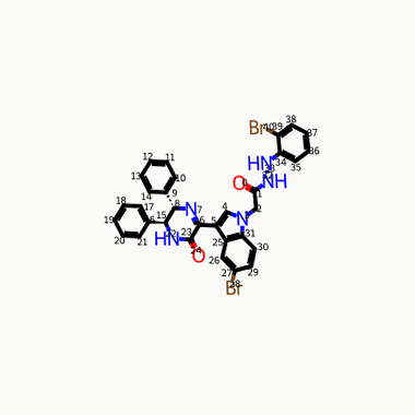 O=C(Cn1cc(C2=N[C@@H](c3ccccc3)[C@H](c3ccccc3)NC2=O)c2cc(Br)ccc21)NNc1ccccc1Br